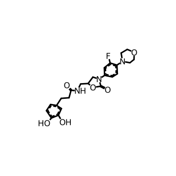 O=C(CCc1ccc(O)c(O)c1)NCC1CN(c2ccc(N3CCOCC3)c(F)c2)C(=O)O1